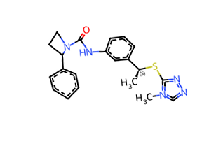 C[C@H](Sc1nncn1C)c1cccc(NC(=O)N2CCC2c2ccccc2)c1